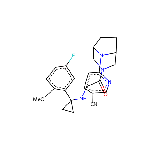 COc1ccc(F)cc1C1(NCC(=O)N2CC3CCC(C2)N3c2ccc(C#N)cn2)CC1